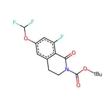 CC(C)(C)OC(=O)N1CCc2cc(OC(F)F)cc(F)c2C1=O